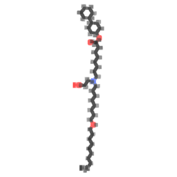 CCCCCCCCCOCCCCCCCCN(CCO)CCCCCCCC(=O)OC1CCC(C2CCCCC2)CC1